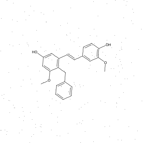 COc1cc(C=Cc2cc(O)cc(OC)c2Cc2ccccc2)ccc1O